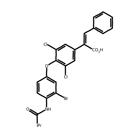 CC(C)C(=O)Nc1ccc(Oc2c(Cl)cc(C(=Cc3ccccc3)C(=O)O)cc2Cl)cc1Br